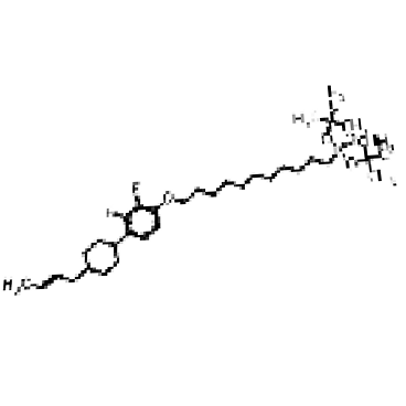 C/C=C/CC1CCC(c2ccc(OCCCCCCCCCCCP(=O)(OC(C)(C)C)OC(C)(C)C)c(F)c2F)CC1